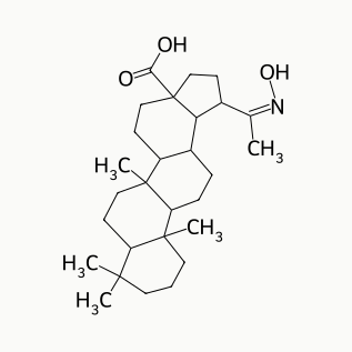 C/C(=N/O)C1CCC2(C(=O)O)CCC3C(CCC4C3(C)CCC3C(C)(C)CCCC34C)C12